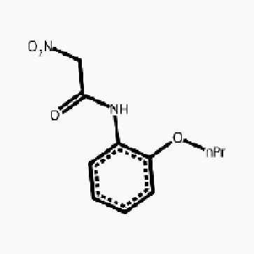 CCCOc1ccccc1NC(=O)C[N+](=O)[O-]